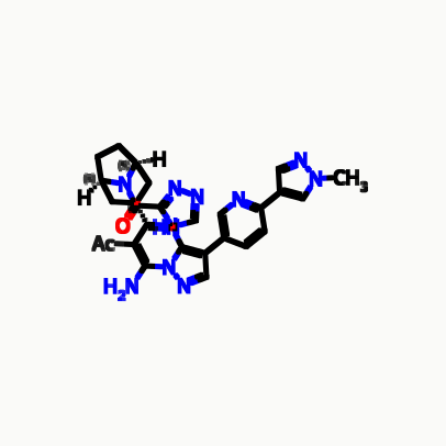 CC(=O)c1c([C@@H]2C[C@H]3CC[C@@H](C2)N3C(=O)c2nnc[nH]2)nc2c(-c3ccc(-c4cnn(C)c4)nc3)cnn2c1N